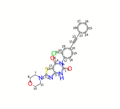 O=c1[nH]c2nc(N3CCOCC3)sc2c(=O)n1-c1ccc(C#Cc2ccccc2)cc1Cl